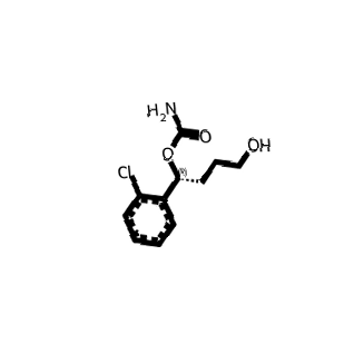 NC(=O)O[C@H](CCCO)c1ccccc1Cl